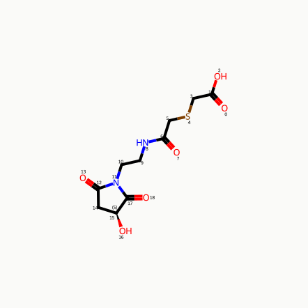 O=C(O)CSCC(=O)NCCN1C(=O)C[C@H](O)C1=O